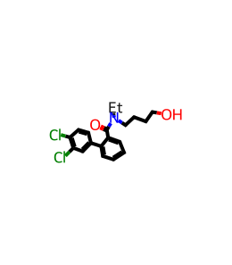 CCN(CCCCO)C(=O)c1ccccc1-c1ccc(Cl)c(Cl)c1